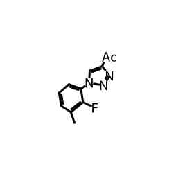 CC(=O)c1cn(-c2cccc(C)c2F)nn1